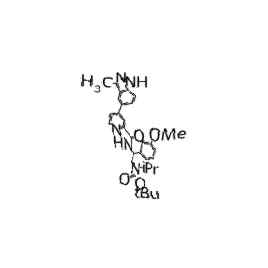 COc1cccc(C(CN(C(=O)OC(C)(C)C)C(C)C)NC(=O)c2cc(-c3ccc4[nH]nc(C)c4c3)ccn2)c1